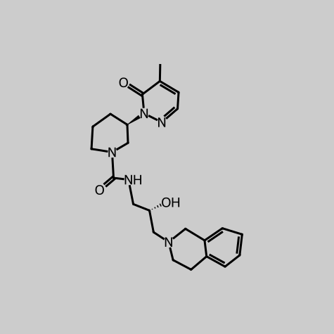 Cc1ccnn([C@@H]2CCCN(C(=O)NC[C@H](O)CN3CCc4ccccc4C3)C2)c1=O